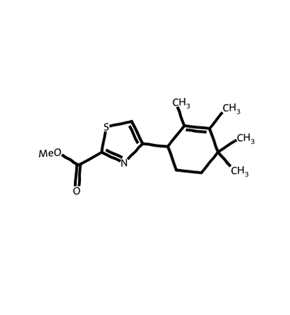 COC(=O)c1nc(C2CCC(C)(C)C(C)=C2C)cs1